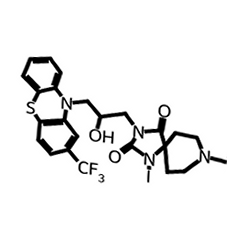 O=C1N(CC(O)CN2c3ccccc3Sc3ccc(C(F)(F)F)cc32)C(=O)C2(CCN(I)CC2)N1I